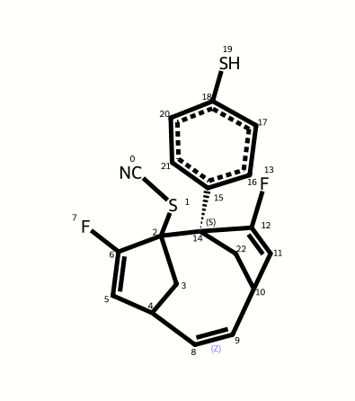 N#CSC12CC(C=C1F)/C=C\C1C=C(F)[C@@]2(c2ccc(S)cc2)C1